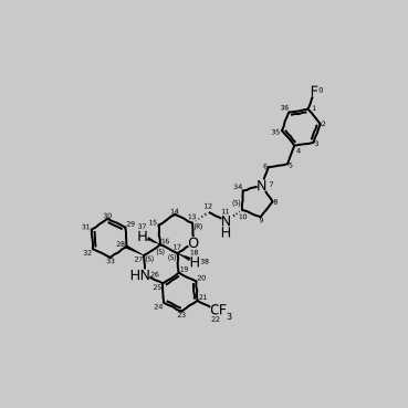 Fc1ccc(CCN2CC[C@H](NC[C@H]3CC[C@@H]4[C@H](O3)c3cc(C(F)(F)F)ccc3N[C@H]4C3C=CC=CC3)C2)cc1